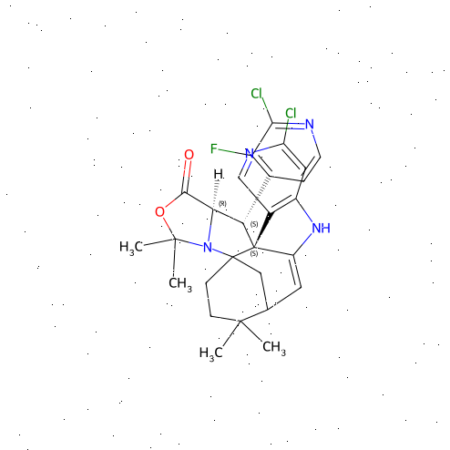 CC1(C)CCC23CC1C=C1Nc4cc(Cl)ncc4[C@@]12[C@@H](c1ccnc(Cl)c1F)[C@@H]1C(=O)OC(C)(C)N13